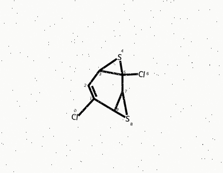 ClC1=CC2SC2(Cl)C2SC12